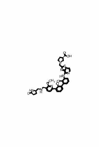 COc1nc(-c2cccc(-c3cccc(Nc4nccc5sc(CN6CC[C@@H](C(=O)O)C6)nc45)c3Cl)c2Cl)ccc1CNCC1CCC(=O)N1